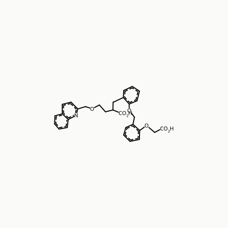 O=C(O)COc1ccccc1COc1ccccc1CC(CCOCc1ccc2ccccc2n1)C(=O)O